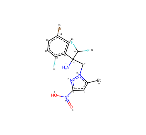 CCc1cc([N+](=O)O)nn1CC(N)(c1cc(Br)ccc1F)C(F)F